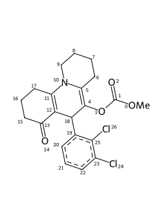 COC(=O)OC1=C2CCCCN2C2=C(C(=O)CCC2)C1c1cccc(Cl)c1Cl